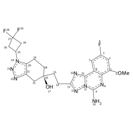 COc1cc(F)cc2c1nc(N)n1nc(CC[C@@]3(O)CCc4c(nnn4C4CC(F)(F)C4)C3)nc21